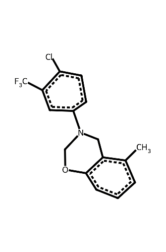 Cc1cccc2c1CN(c1ccc(Cl)c(C(F)(F)F)c1)CO2